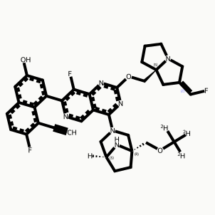 [2H]C([2H])([2H])OC[C@@]12CC[C@@H](CN(c3nc(OC[C@@]45CCCN4C/C(=C\F)C5)nc4c(F)c(-c5cc(O)cc6ccc(F)c(C#C)c56)ncc34)C1)N2